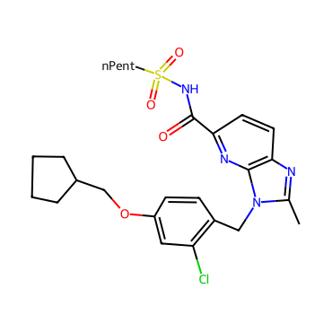 CCCCCS(=O)(=O)NC(=O)c1ccc2nc(C)n(Cc3ccc(OCC4CCCC4)cc3Cl)c2n1